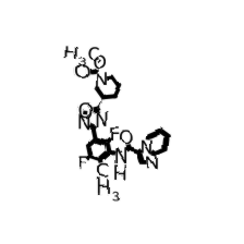 COC(=O)N1CCC[C@H](c2nc(-c3cc(F)c(C)c(NC(=O)c4cnc5ccccn45)c3F)no2)C1